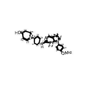 COc1ccc(N2N=NC3=CN=C(N[C@H]4CC[C@H](N5CCC(O)CC5)CC4)NC32)cc1